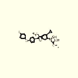 Cc1c(-c2ccc(Oc3ccc(F)cc3)cc2)oc2cc(N(S)CC(C)O)c(C3CC3)cc12